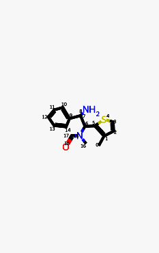 Cc1ccsc1C(C(N)c1ccccc1)N(C)C=O